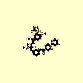 CC(C)(Cc1cccc(CC(=O)N2CCN(c3ccccn3)CC2)c1)NCC(O)c1ccc(O)c(NC(N)=O)c1